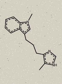 Cc1[nH]cnc1CCCc1cn(C)c2ccccc12